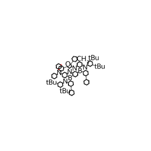 Cc1cc2c3c(c1)N1c4c(ccc5c4N(c4cc(N(c6ccccc6)c6ccccc6)cc6c4B5c4ccc(-c5ccccc5)cc4N6c4cc(C(C)(C)C)cc(C(C)(C)C)c4)c4c(-c5ccccc5)oc(-c5ccccc5)c41)B3c1cc(-c3ccccc3)ccc1N2c1cc(C(C)(C)C)cc(C(C)(C)C)c1